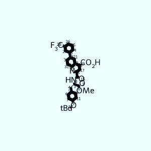 COC(=O)[C@H](Cc1ccc(OC(C)(C)C)cc1)NC(=O)c1cc(C(=O)O)c2cc(-c3cccc(C(F)(F)F)c3)ccc2n1